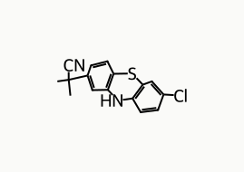 CC(C)(C#N)c1ccc2c(c1)Nc1ccc(Cl)cc1S2